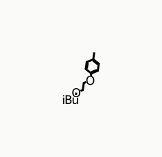 CCC(C)OCCOc1ccc(C)cc1